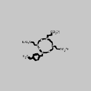 C=Cc1ccc(CN2CCCN(CCC(=O)OCC)CCN(CCC(=O)OCC)CCCN(CCC(=O)OCC)CC2)cc1